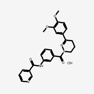 COc1ccc(C2=NN(C(=O)c3cccc(NC(=O)c4cccnc4)c3)CCC2)cc1OC.Cl